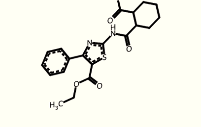 CCOC(=O)c1sc(NC(=O)C2CCCCC2C(=O)O)nc1-c1ccccc1